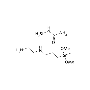 CO[Si](C)(CCCNCCN)OC.NC(=O)N[SiH3]